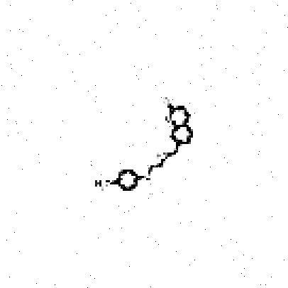 Cc1ccc(OCCNCc2ccc3ccc(=O)oc3c2)cc1